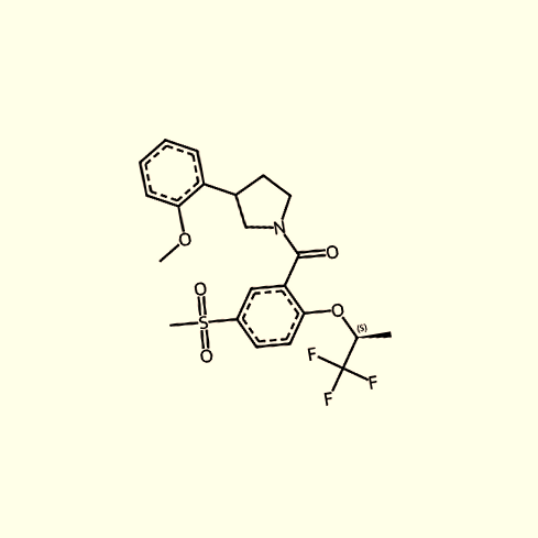 COc1ccccc1C1CCN(C(=O)c2cc(S(C)(=O)=O)ccc2O[C@@H](C)C(F)(F)F)C1